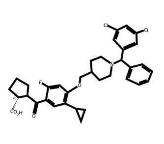 O=C(c1cc(C2CC2)c(OCC2CCN(C(c3ccccc3)c3cc(Cl)cc(Cl)c3)CC2)cc1F)C1CCC[C@H]1C(=O)O